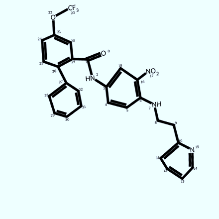 O=C(Nc1ccc(NCCc2ccccn2)c([N+](=O)[O-])c1)c1cc(OC(F)(F)F)ccc1-c1ccccc1